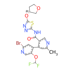 Cc1cc(-c2cc(Br)ncc2OC(F)F)c(C(=O)Nc2nnc(O[C@@H]3CCOC3)s2)cn1